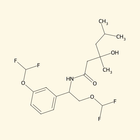 CC(C)CC(C)(O)CC(=O)NC(COC(F)F)c1cccc(OC(F)F)c1